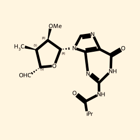 CO[C@@H]1[C@H](C)[C@@H](C=O)O[C@H]1n1cnc2c(=O)[nH]c(NC(=O)C(C)C)nc21